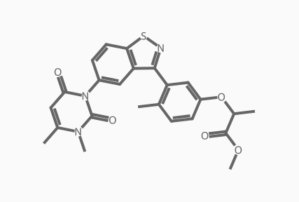 COC(=O)C(C)Oc1ccc(C)c(-c2nsc3ccc(-n4c(=O)cc(C)n(C)c4=O)cc23)c1